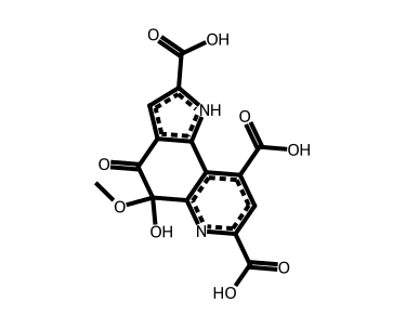 COC1(O)C(=O)c2cc(C(=O)O)[nH]c2-c2c(C(=O)O)cc(C(=O)O)nc21